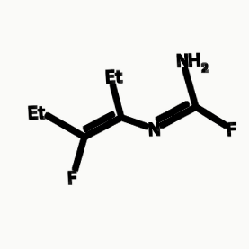 CC/C(F)=C(CC)/N=C(\N)F